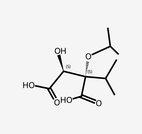 CC(C)O[C@@](C(=O)O)(C(C)C)[C@H](O)C(=O)O